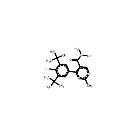 Cc1ncc(C(=O)N(C)O)c(-c2cc(C(C)(C)C)c(O)c(C(C)(C)C)c2)n1